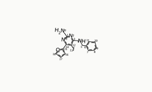 Nc1nc(NCc2ccccc2)c(I)c(-c2ccco2)n1